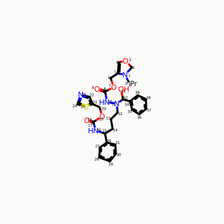 CC(C)N1COC=C1COC(=O)NN(CCCC(NC(=O)OCc1cncs1)c1ccccc1)C(O)c1ccccc1